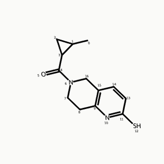 CC1CC1C(=O)N1CCc2nc(S)ccc2C1